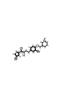 CN1CCCC(COc2ccc(CCNC(=O)c3cc(Br)cs3)cc2Br)C1